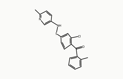 Cc1ccc(NSc2ccc(C(=O)c3ccccc3C)c(Cl)c2)cn1